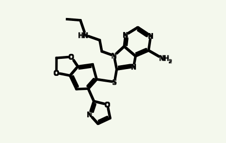 CCNCCn1c(Sc2cc3c(cc2-c2ncco2)OCO3)nc2c(N)ncnc21